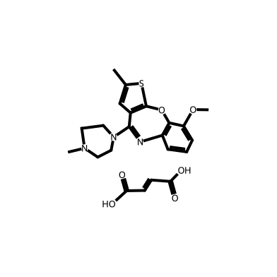 COc1cccc2c1Oc1sc(C)cc1C(N1CCN(C)CC1)=N2.O=C(O)C=CC(=O)O